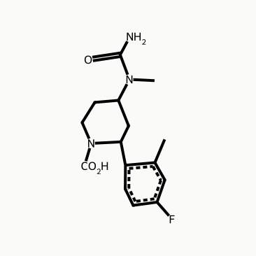 Cc1cc(F)ccc1C1CC(N(C)C(N)=O)CCN1C(=O)O